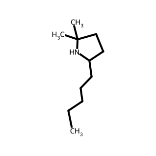 CCCCCC1CCC(C)(C)N1